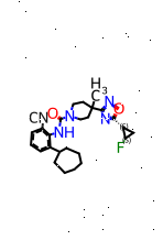 CC1(c2noc([C@@H]3C[C@@H]3F)n2)CCN(C(=O)Nc2c(C#N)cccc2C2CCCCCC2)CC1